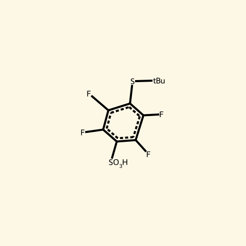 CC(C)(C)Sc1c(F)c(F)c(S(=O)(=O)O)c(F)c1F